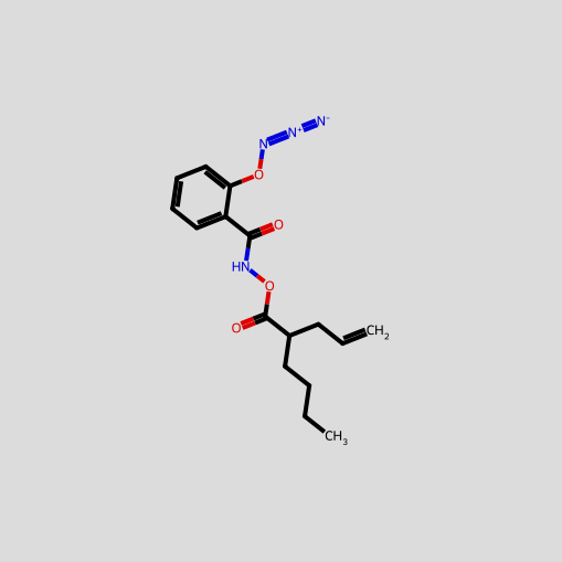 C=CCC(CCCC)C(=O)ONC(=O)c1ccccc1ON=[N+]=[N-]